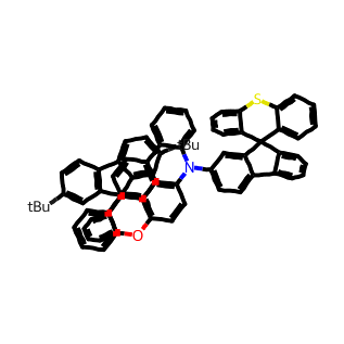 CC(C)(C)c1ccc2c(c1)C1(c3ccccc3Oc3ccc(N(c4ccc5c(c4)C4(c6ccccc6Sc6ccccc64)c4ccccc4-5)c4ccccc4-c4ccc(-c5ccccc5)cc4)cc31)c1cc(C(C)(C)C)ccc1-2